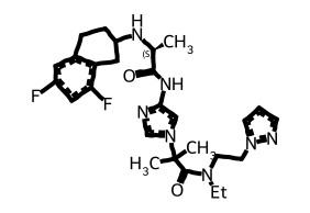 CCN(CCn1cccn1)C(=O)C(C)(C)n1cnc(NC(=O)[C@H](C)NC2CCc3cc(F)cc(F)c3C2)c1